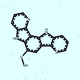 CCCOc1cc2c3ncccc3[nH]c2c2c1[nH]c1cccnc12